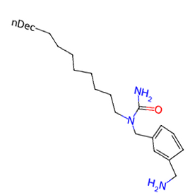 CCCCCCCCCCCCCCCCCCN(Cc1cccc(CN)c1)C(N)=O